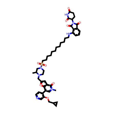 CC1CN(S(=O)(=O)CCCCCCCCCCCCNc2cccc3c2C(=O)N(C2CCC(=O)NC2=O)C3=O)CCN1Cc1cc2c(=O)n(C)cc(-c3ccncc3OCC3CC3)c2o1